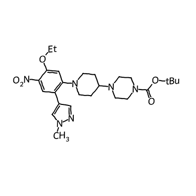 CCOc1cc(N2CCC(N3CCN(C(=O)OC(C)(C)C)CC3)CC2)c(-c2cnn(C)c2)cc1[N+](=O)[O-]